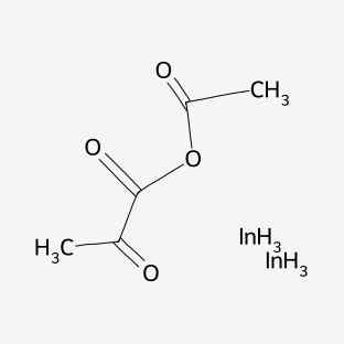 CC(=O)OC(=O)C(C)=O.[InH3].[InH3]